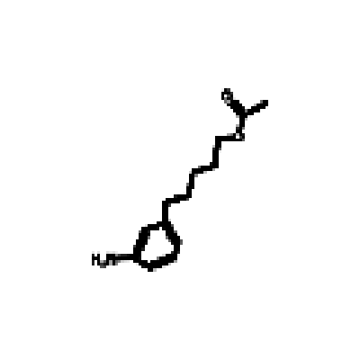 CC(=O)OCCCCCc1cccc(N)c1